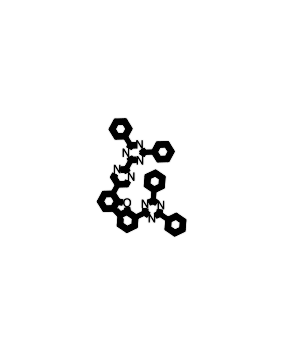 c1ccc(-c2nc(-c3ccccc3)nc(-c3ncc(-c4cccc5c4oc4c(-c6nc(-c7ccccc7)nc(-c7ccccc7)n6)cccc45)cn3)n2)cc1